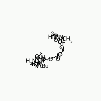 Cn1nc(N2CCC(=O)NC2=O)c2ccc(C3CCN(CC4CCN(C(=O)CCCOCCc5cnc(-c6c(-c7nn(C(C)(C)C)c8ncnc(N)c78)noc6C6CC6)nc5)CC4)CC3)c(F)c21